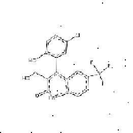 O=c1[nH]c2ccc(C(F)(F)F)cc2c(-c2cc(Cl)ccc2O)c1CO